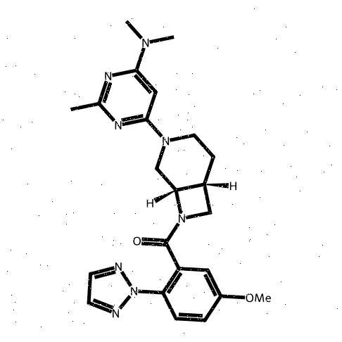 COc1ccc(-n2nccn2)c(C(=O)N2C[C@H]3CCN(c4cc(N(C)C)nc(C)n4)C[C@H]32)c1